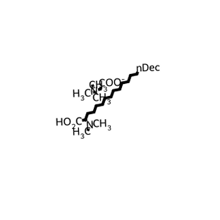 CCCCCCCCCCCCCCCCCCCCCCC(C(=O)O)N(C)C.C[N+](C)(C)CC(=O)[O-]